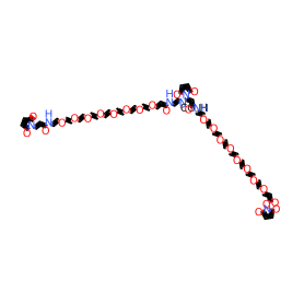 O=C(CCOCCOCCOCCOCCOCCOCCOCCOCCNC(=O)CCN1C(=O)C=CC1=O)NCCN(C(=O)O)C(CC(=O)NCCOCCOCCOCCOCCOCCOCCOCCOCCC(=O)ON1C(=O)CCC1=O)N1C(=O)C=CC1=O